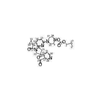 CC(C)COC(=O)ON1CCN(c2ccc(C3(C(=O)N4CCC5(C4)OC(=O)c4cnccc45)CC3)cn2)CC1